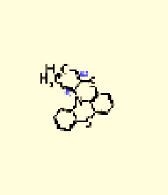 C/C=C1/Sc2cccc3c2N(/C1=C/C)c1ccccc1S3